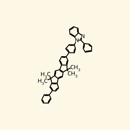 CC1(C)c2cc(-c3ccccc3)ccc2-c2cc3c(cc21)-c1ccc(-c2ccc(-n4c(-c5ccccc5)nc5ccccc54)cc2)cc1C3(C)C